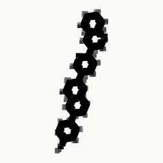 Fc1ccc(-c2ccc3cc(-c4ccc(-c5cnc6ccccc6c5)nc4)ccc3c2)cc1